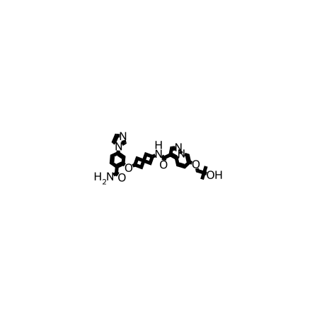 CC(C)(O)COc1ccc2c(C(=O)NC3CC4(C3)CC(Oc3cc(-n5ccnc5)ccc3C(N)=O)C4)cnn2c1